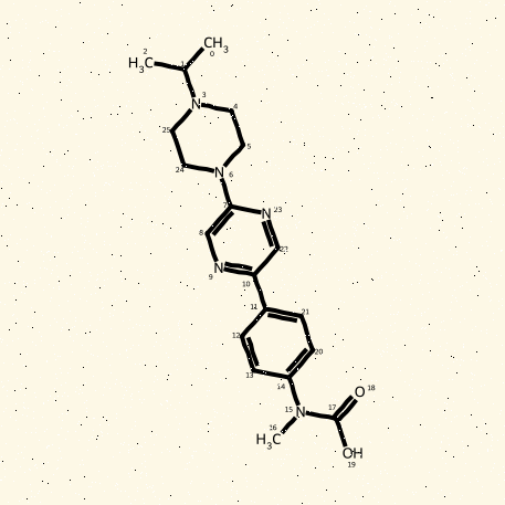 CC(C)N1CCN(c2cnc(-c3ccc(N(C)C(=O)O)cc3)cn2)CC1